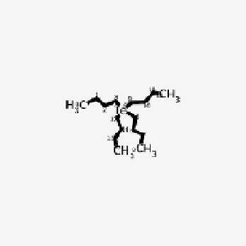 CCCC[Te](CCCC)(CCCC)CCCC